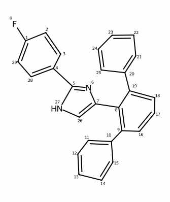 Fc1ccc(-c2nc(-c3c(-c4ccccc4)cccc3-c3ccccc3)c[nH]2)cc1